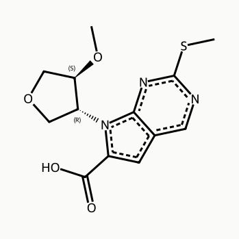 CO[C@@H]1COC[C@H]1n1c(C(=O)O)cc2cnc(SC)nc21